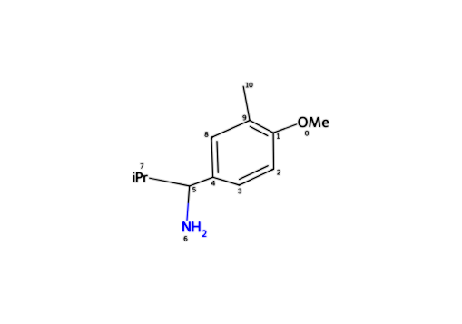 COc1ccc(C(N)C(C)C)cc1C